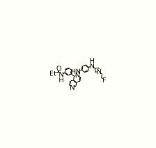 CCC(=O)Nc1cccc(C2c3ccncc3C=CN2Nc2ccc(NC3CN(CCF)C3)cc2)c1